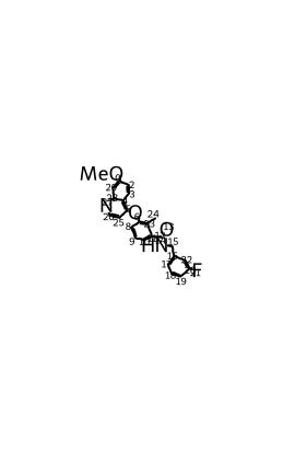 COc1ccc2c(Oc3cccc(C(=O)NCc4cccc(F)c4)c3C)ccnc2c1